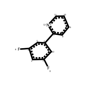 Fc1cc(F)cc(-c2c[c]ccn2)c1